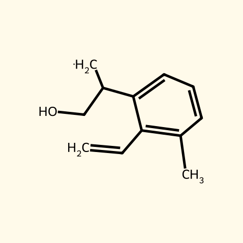 [CH2]C(CO)c1cccc(C)c1C=C